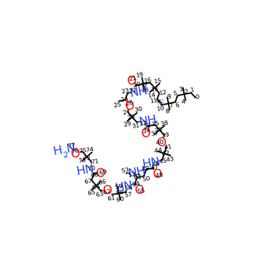 CCC(C)(C)CCC(C)(C)/C=C\CC(C)(C)CC(C)(C)C(=O)NCC(C)OCC(C)(C)CNC(=O)CC(C)(C)COCC(C)(C)CNC(=O)CC[C@H](NC)C(=O)NCC(C)(C)COCC(C)(C)CC(=O)NCC(C)(C)CON